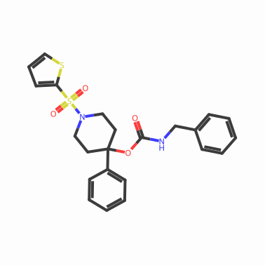 O=C(NCc1ccccc1)OC1(c2ccccc2)CCN(S(=O)(=O)c2cccs2)CC1